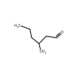 CC[CH]C(C)CC=O